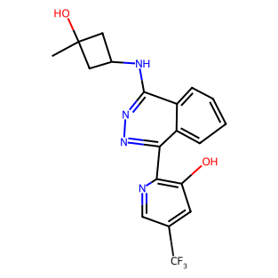 CC1(O)CC(Nc2nnc(-c3ncc(C(F)(F)F)cc3O)c3ccccc23)C1